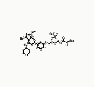 CC(C)n1nc(Br)c2c(NC3CCOCC3)cc(-c3cccc(OCC(CCOC(=O)NC(C)(C)C)O[Si](C)(C)C(C)(C)C)c3)nc21